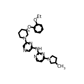 CCOc1ccccc1O[C@@H]1CCCN(c2cncc(Nc3nccc(N4CCC(C)C4)n3)n2)C1